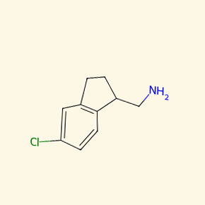 NCC1CCc2cc(Cl)ccc21